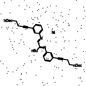 CCCCCCCCCCCCC#Cc1cccc(N=CC(CCCC)=Nc2cccc(C#CCCCCCCCCCCCC)c2)c1.[Ni]